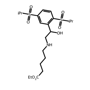 CCOC(=O)CCCCNCC(O)c1cc(S(=O)(=O)C(C)C)ccc1S(=O)(=O)C(C)C